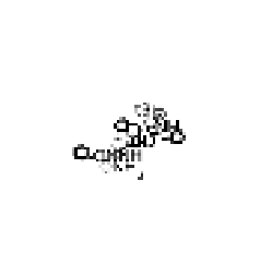 CC(C)(C)OC(=O)N[C@@H](Cc1ccccc1)[C@@H](O)C[C@@H](Cc1ccccc1)c1ncc(C(=O)NC(N)=NC(=O)OCc2ccccc2)s1